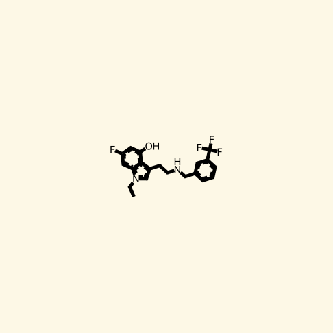 CCn1cc(CCNCc2cccc(C(F)(F)F)c2)c2c(O)cc(F)cc21